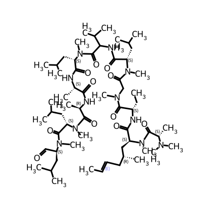 C/C=C/C[C@@H](C)C[C@@H](C(=O)N[C@@H](CC)C(=O)N(C)CC(=O)N(C)[C@@H](CC(C)C)C(=O)NC(C(=O)N(C)[C@@H](CC(C)C)C(=O)N[C@@H](C)C(=O)N[C@H](C)C(=O)N(C)[C@@H](CC(C)C)C(=O)N(C)[C@H](C=O)CC(C)C)C(C)C)N(C)C(=O)[C@H](C)N(C)C